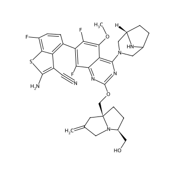 C=C1CN2[C@H](CO)CC[C@@]2(COc2nc(N3CC4CC[C@@H](C3)N4)c3c(OC)c(F)c(-c4ccc(F)c5sc(N)c(C#N)c45)c(F)c3n2)C1